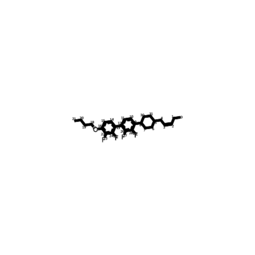 CC/C=C\CC1CCC(c2ccc(-c3ccc(OCCCC)c(F)c3F)c(F)c2F)CC1